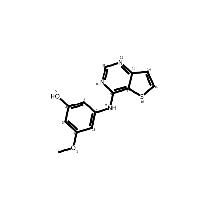 COc1cc(O)cc(Nc2ncnc3ccsc23)c1